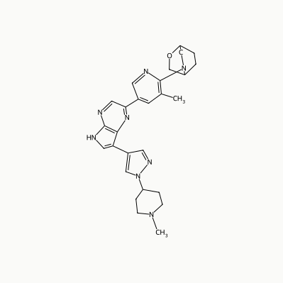 Cc1cc(-c2cnc3[nH]cc(-c4cnn(C5CCN(C)CC5)c4)c3n2)cnc1N1CC2CCC1CO2